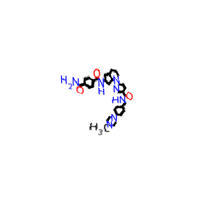 CN1CCN(c2ccc(CNC(=O)c3ccc(N4CCCC5CC(NC(=O)c6ccc(C(N)=O)cc6)CC54)nc3)cc2)CC1